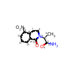 C[C@@H](C(N)=O)n1ccc2c([N+](=O)[O-])cccc2c1=O